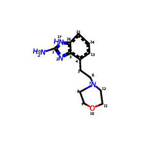 Nc1nc2c(CCN3CCOCC3)cccc2[nH]1